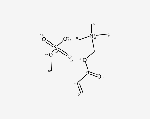 C=CC(=O)OC[N+](C)(C)C.COS(=O)(=O)[O-]